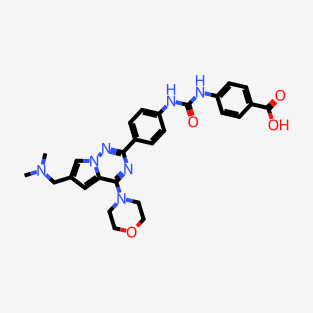 CN(C)Cc1cc2c(N3CCOCC3)nc(-c3ccc(NC(=O)Nc4ccc(C(=O)O)cc4)cc3)nn2c1